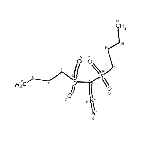 CCCCS(=O)(=O)C(=[N+]=[N-])S(=O)(=O)CCCC